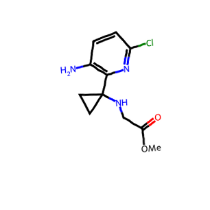 COC(=O)CNC1(c2nc(Cl)ccc2N)CC1